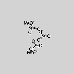 O=[Se]([O-])[O-].O=[Se]([O-])[O-].O=[Se]([O-])[O-].[Mn+2].[Mo+4]